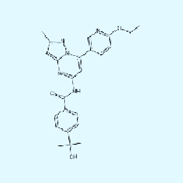 CCOc1ccc(-c2cc(NC(=O)c3ccc(C(C)(C)O)cc3)nc3cc(C)nn23)cn1